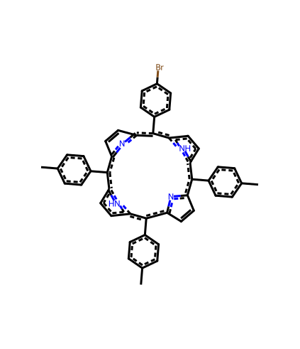 Cc1ccc(-c2c3nc(c(-c4ccc(C)cc4)c4ccc([nH]4)c(-c4ccc(Br)cc4)c4nc(c(-c5ccc(C)cc5)c5ccc2[nH]5)C=C4)C=C3)cc1